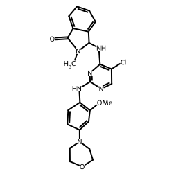 COc1cc(N2CCOCC2)ccc1Nc1ncc(Cl)c(NC2c3ccccc3C(=O)N2C)n1